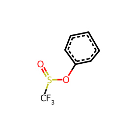 O=S(Oc1ccccc1)C(F)(F)F